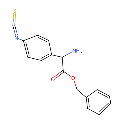 NC(C(=O)OCc1ccccc1)c1ccc(N=C=S)cc1